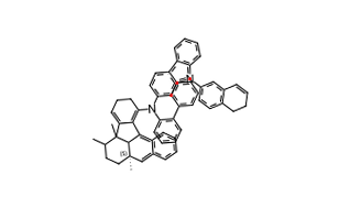 CC1CC[C@]2(C)C=c3ccccc3=C3C4=C(N(c5ccc6c7ccccc7n(-c7ccc8c(c7)C=CCC8)c6c5)c5ccccc5-c5ccccc5)CCC=C4C1(C)C32